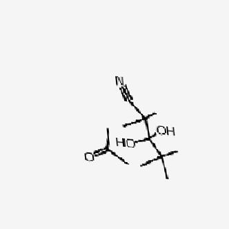 CC(C)(C)C(O)(O)C(C)(C)C#N.CC(C)=O